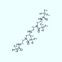 O=C(NCCN(CCNCCN(CCNC(=O)C(F)(F)F)C(=O)C(F)(F)F)C(=O)C(F)(F)F)C(F)(F)F